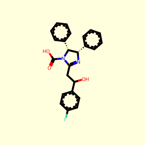 O=C(O)N1C(CC(O)c2ccc(F)cc2)=N[C@@H](c2ccccc2)[C@H]1c1ccccc1